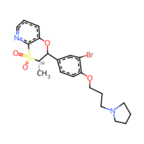 C[C@H]1C(c2ccc(OCCCN3CCCC3)c(Br)c2)Oc2cccnc2S1(=O)=O